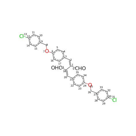 O=CC(=C/c1ccc(OCc2ccc(Cl)cc2)cc1)/C(C=O)=C\c1ccc(OCc2ccc(Cl)cc2)cc1